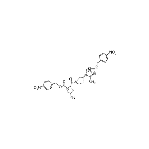 CC(=NC(=O)OCc1ccc([N+](=O)[O-])cc1)N(C)[C@H]1CCN(C(=O)[C@@H]2C[C@H](S)CN2C(=O)OCc2ccc([N+](=O)[O-])cc2)C1